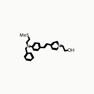 CSCCN(Cc1ccccc1)c1ccc(/C=C/c2cc[n+](CCO)cc2)cc1